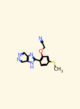 CSc1ccc(-c2nc3cnncc3[nH]2)c(OCC#N)c1